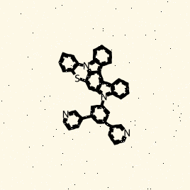 c1cncc(-c2cc(-c3cccnc3)cc(-n3c4ccccc4c4c5c6ccccc6n6c5c(cc43)Sc3ccccc3-6)c2)c1